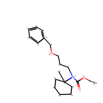 CC(C)(C)OC(=O)N(CCCOCc1ccccc1)C1(C)CCCCC1